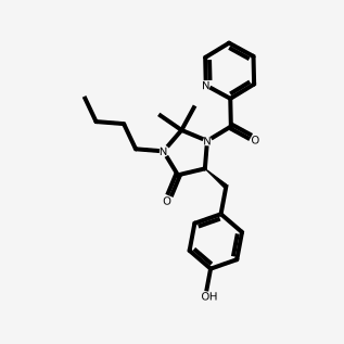 CCCCN1C(=O)[C@H](Cc2ccc(O)cc2)N(C(=O)c2ccccn2)C1(C)C